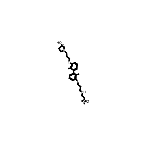 Cc1c(OCCCNCCS(C)(=O)=O)cccc1-c1cccc(OCCCN2CC[C@@H](O)C2)c1C